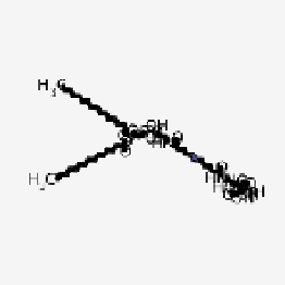 CCCCCCCCCCCCCCCC(=O)OC[C@H](COP(=O)(O)OCCNC(=O)CCC/C=C/CCCCC(=O)NCCCC(O)(P(=O)(O)O)P(=O)(O)O)OC(=O)CCCCCCCCCCCCCCC